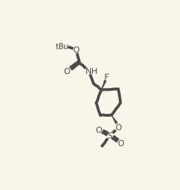 CC(C)(C)OC(=O)NC[C@]1(F)CC[C@@H](OS(C)(=O)=O)CC1